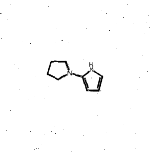 [c]1c[nH]c(N2CCCC2)c1